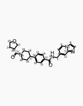 O=C(NCc1ccn2ccnc2c1)c1ccc(C2CCN(C(=O)[C@@H]3CCOC3)CC2)cc1